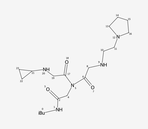 CCC(C)NC(=O)CN(C(=O)CNCCN1CCCC1)C(=O)CNC1CC1